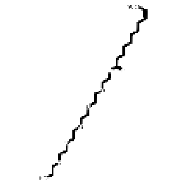 CCCCCCCC/C=C\CCCCCCCC(=O)OCCOCCOCCOCCOCCOCCO